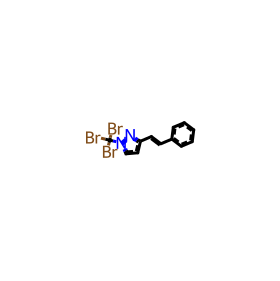 BrC(Br)(Br)n1ccc(C=Cc2ccccc2)n1